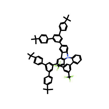 CC(C)(C)c1ccc(-c2cc(-c3ccc(C(C)(C)C)cc3)cc(-c3ccc4c(c3)c3cc(-c5cc(-c6ccc(C(C)(C)C)cc6)cc(-c6ccc(C(C)(C)C)cc6)c5)ccc3n4-c3ccccc3-c3cc(C(F)(F)F)cc(C(F)(F)F)c3)c2)cc1